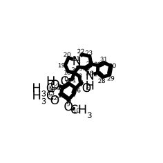 CCC1(CC(=O)c2cc(OC)c(OC)c(OC)c2)CCCN2CCc3c([nH]c4ccccc34)C21